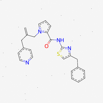 C=C(Cc1ccncc1)Cn1cccc1C(=O)Nc1nc(Cc2ccccc2)cs1